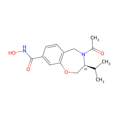 CC(=O)N1Cc2ccc(C(=O)NO)cc2OC[C@@H]1C(C)C